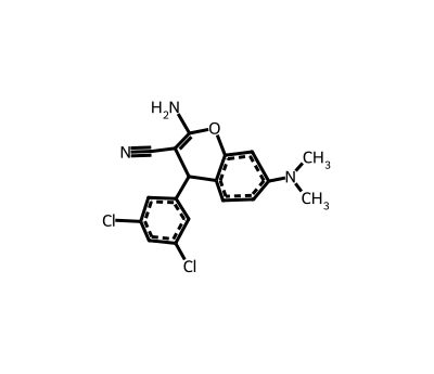 CN(C)c1ccc2c(c1)OC(N)=C(C#N)C2c1cc(Cl)cc(Cl)c1